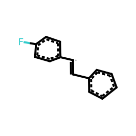 Fc1ccc([C]=Cc2ccccc2)cc1